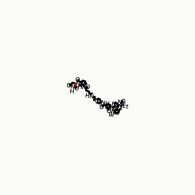 CC[C@@H]1C(=O)N(C)c2cnc(Nc3ccc(C(=O)NC4CCN(CCNCCCCC(=O)Nc5cccc6c5CN(C5CCC(=O)NC5=O)C6=O)CC4)cc3OC)nc2N1Cc1ccc(Br)cc1